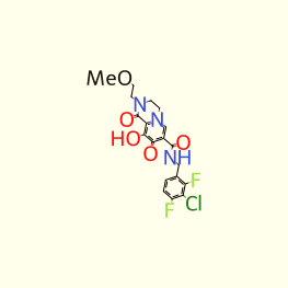 COCCN1CCn2cc(C(=O)NCc3ccc(F)c(Cl)c3F)c(=O)c(O)c2C1=O